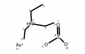 CC[NH+](CC)CC.O=S([O-])[O-].[Au+]